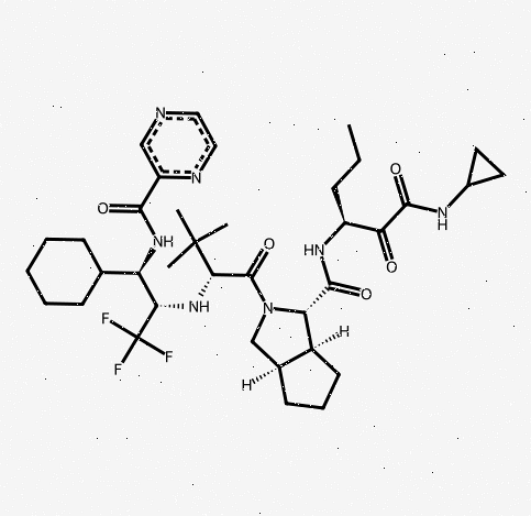 CCC[C@H](NC(=O)[C@@H]1[C@H]2CCC[C@H]2CN1C(=O)[C@H](N[C@@H]([C@H](NC(=O)c1cnccn1)C1CCCCC1)C(F)(F)F)C(C)(C)C)C(=O)C(=O)NC1CC1